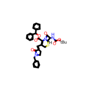 CC(C)(C)OC(=O)N[C@@H]1C(=O)N2C(C(=O)OC(c3ccccc3)c3ccccc3)=C(C=C3CCN(Cc4ccccc4)C3=O)CS[C@H]12